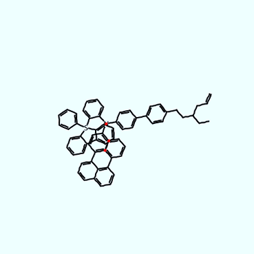 C=CCC(CC)CCc1ccc(-c2ccc(N(c3ccc(-c4cccc5cccc(-c6ccccc6)c45)cc3)c3ccccc3S3(c4ccccc4)c4ccccc4-c4ccccc43)cc2)cc1